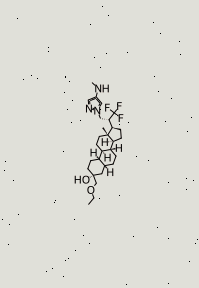 CCOC[C@@]1(O)CC[C@H]2[C@H](CC[C@@H]3[C@@H]2CC[C@]2(C)[C@@H]([C@H](Cn4cc(NC)cn4)C(F)(F)F)CC[C@@H]32)C1